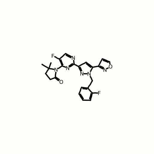 CC1(C)CCC(=O)N1c1nc(-c2cc(-c3ccon3)n(Cc3ccccc3F)n2)ncc1F